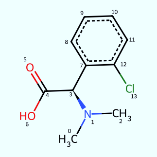 CN(C)[C@@H](C(=O)O)c1ccccc1Cl